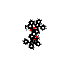 FC(F)(F)c1ccccc1-c1ccccc1-c1c2c(c(-c3ccccc3)c3ccccc13)-c1ccc3c4ccc5c6c(ccc(c7ccc-2c1c37)c64)-c1c-5c(-c2ccccc2-c2ccccc2C(F)(F)F)c2ccccc2c1-c1ccccc1